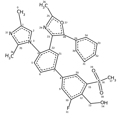 Cc1cn(-c2ccc(-c3cc(F)c(CO)c(S(C)(=O)=O)c3)cc2-c2nc(C)oc2-c2ccccc2)c(C)n1